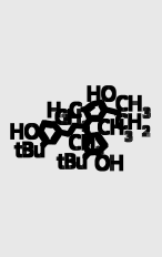 C=C(C)c1cc(C(CC(C)c2cc(C(C)(C)C)c(O)cc2C)c2cc(C(C)(C)C)c(O)cc2C)c(C)cc1O